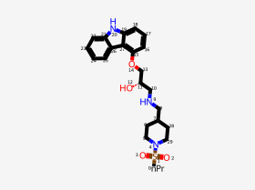 CCCS(=O)(=O)N1CCC(CNC[C@H](O)COc2cccc3[nH]c4ccccc4c23)CC1